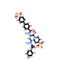 CS(=O)(=O)c1ccc(-c2ccc(C(=O)N[C@@H](CCN[C@@H]3C[C@H]3c3ccc(F)cc3)C(=O)N3CCC(S(C)(=O)=O)CC3)cc2)cc1